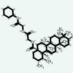 C[C@H]1[C@H](C)CC[C@]2(C(=O)OCC(=O)OCC(=O)OC3CCCCC3)CC[C@]3(C)C(=CC[C@@H]4[C@@]5(C)CC[C@H](O)C(C)(C)[C@@H]5CC[C@]43C)[C@H]12